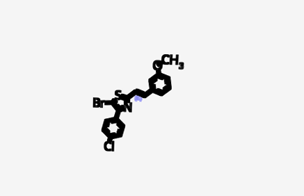 COc1cccc(/C=C/c2nc(-c3ccc(Cl)cc3)c(Br)s2)c1